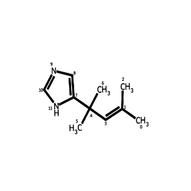 CC(C)=CC(C)(C)c1cnc[nH]1